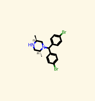 C[C@@H]1CN[C@@H](C)CN1C(c1ccc(Br)cc1)c1ccc(Br)cc1